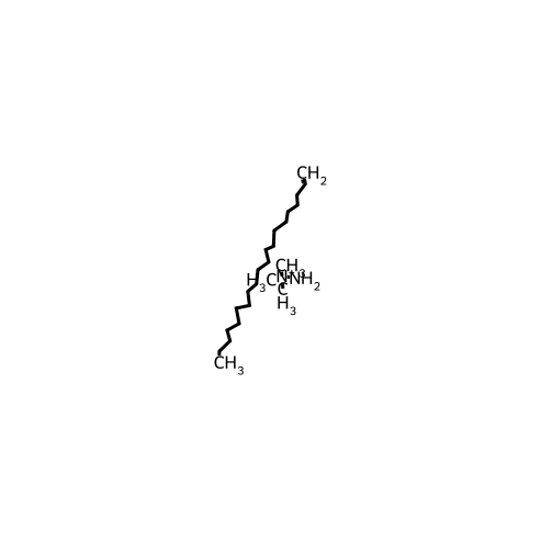 C=CCCCCCCCCCCCCCCCCCC.C[N+](C)(C)N